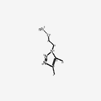 CCCOCCn1nnc(C)c1C